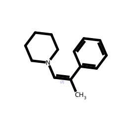 C/C(=C/N1CCCCC1)c1ccccc1